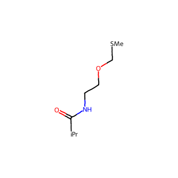 CSCOCCNC(=O)C(C)C